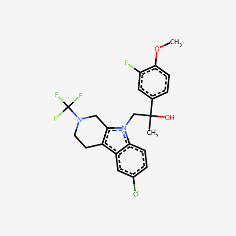 COc1ccc(C(C)(O)Cn2c3c(c4cc(Cl)ccc42)CCN(C(F)(F)F)C3)cc1F